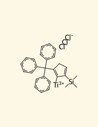 C[Si](C)(C)C1=CCC(C(c2ccccc2)(c2ccccc2)c2ccccc2)=[C]1[Ti+3].[Cl-].[Cl-].[Cl-]